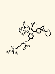 CCC(B1OC(C)(C)C(C)(C)O1)=C(c1ccc(CCN(CCC=CC(=O)N(C)C)C(=O)O)cc1)c1ccc2c(cnn2C2CCCCO2)c1